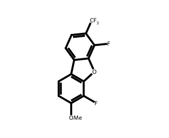 COc1ccc2c(oc3c(F)c(C(F)(F)F)ccc32)c1F